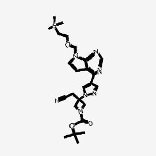 CC(C)(C)OC(=O)N1CC(CC#N)(n2cc(-c3ncnc4c3ccn4COCCS(C)(C)C)cn2)C1